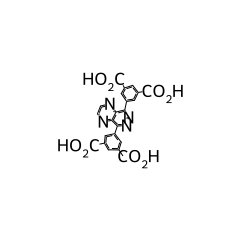 O=C(O)c1cc(C(=O)O)cc(-c2nnc(-c3cc(C(=O)O)cc(C(=O)O)c3)c3nccnc23)c1